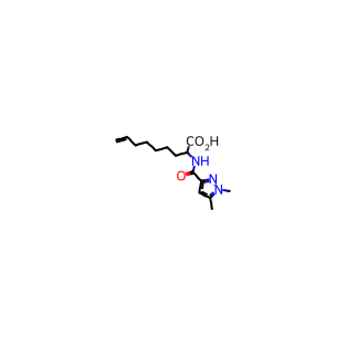 C=CCCCCCC(NC(=O)c1cc(C)n(C)n1)C(=O)O